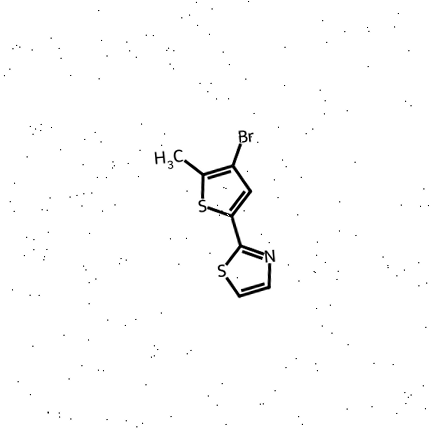 Cc1sc(-c2nccs2)cc1Br